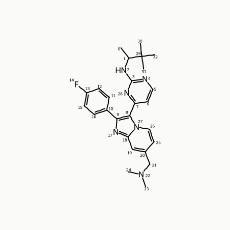 CC(Nc1nccc(-c2c(-c3ccc(F)cc3)nc3cc(CN(C)C)ccn23)n1)C(C)(C)C